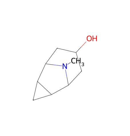 CN1C2CC(O)CC1C1CC12